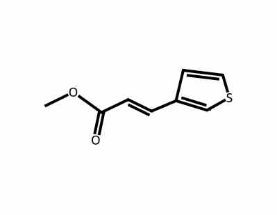 COC(=O)/C=C/c1[c]scc1